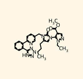 CCCCc1cn(-c2c(C(=O)OC)cnn2CC)c(=O)n1Cc1ccc(-c2ccccc2-c2nnn[nH]2)nc1